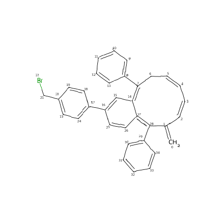 C=C1/C=C\C=C/C/C(c2ccccc2)=c2/cc(-c3ccc(CBr)cc3)cc/c2=C/1c1ccccc1